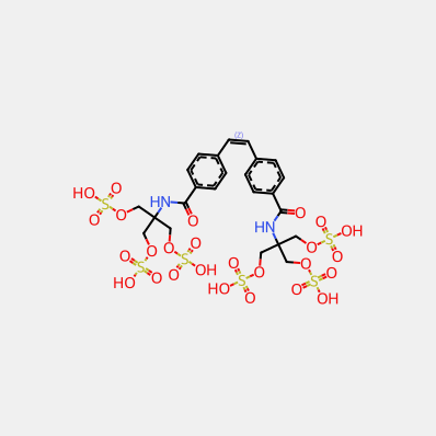 O=C(NC(COS(=O)(=O)O)(COS(=O)(=O)O)COS(=O)(=O)O)c1ccc(/C=C\c2ccc(C(=O)NC(COS(=O)(=O)O)(COS(=O)(=O)O)COS(=O)(=O)O)cc2)cc1